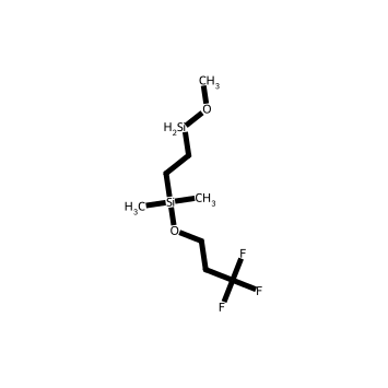 CO[SiH2]CC[Si](C)(C)OCCC(F)(F)F